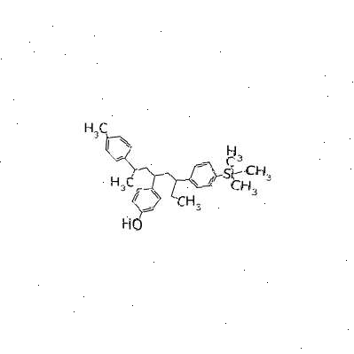 CCC(CC(CC(C)c1ccc(C)cc1)c1ccc(O)cc1)c1ccc([Si](C)(C)C)cc1